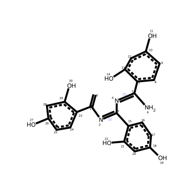 C=C(/N=C(\N=C(/N)c1ccc(O)cc1O)c1ccc(O)cc1O)c1ccc(O)cc1O